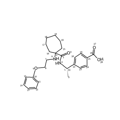 C[C@H](NC(=O)C1(NCCOc2ccccc2)CCCCCC1)c1ccc(C(=O)O)cc1